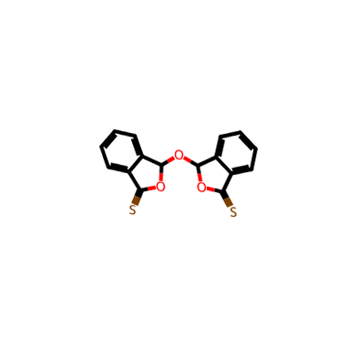 S=C1OC(OC2OC(=S)c3ccccc32)c2ccccc21